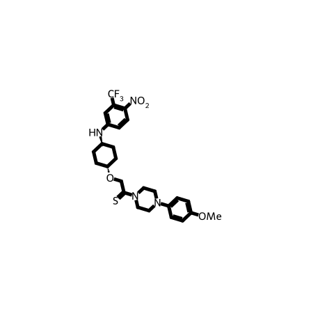 COc1ccc(N2CCN(C(=S)CO[C@H]3CC[C@H](Nc4ccc([N+](=O)[O-])c(C(F)(F)F)c4)CC3)CC2)cc1